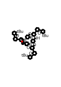 CC(C)(C)c1cccc2c1oc1c(-c3cc4c5c(c3)Oc3ccccc3B5c3cc5c(cc3N4)Oc3cc(-c4cccc6c4oc4c(C(C)(C)C)cccc46)cc4c3B5c3cc5c(cc3O4)Oc3cc(-c4cccc6c4oc4c(C(C)(C)C)cccc46)cc4c3B5c3ccccc3O4)cccc12